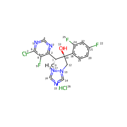 C[C@H](c1ncnc(Cl)c1F)[C@@](O)(Cn1cncn1)c1ccc(F)cc1F.Cl